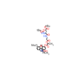 CCCCOC(=O)CC[C@@H](NC(=O)OC(C)(C)C)C(=O)NCCC(=O)O[C@@H](C)C(=O)OC1=CC[C@@]2(O)[C@H]3Cc4ccc(OC)c5c4[C@@]2(CCN3C)[C@H]1O5